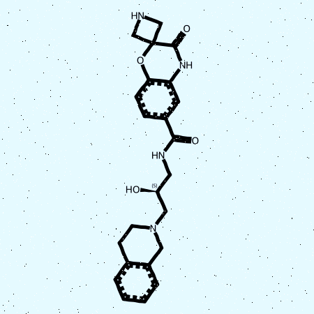 O=C(NC[C@H](O)CN1CCc2ccccc2C1)c1ccc2c(c1)NC(=O)C1(CNC1)O2